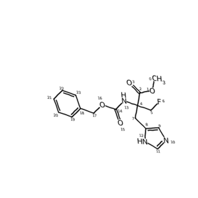 COC(=O)C(CF)(Cc1cnc[nH]1)NC(=O)OCc1ccccc1